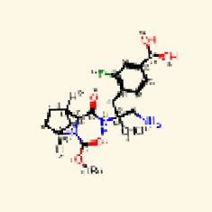 CC(C)(C)OC(=O)N1[C@@H]2CC[C@@H](C2)[C@H]1C(=O)N[C@@](C=O)(CN)Cc1ccc(B(O)O)cc1F